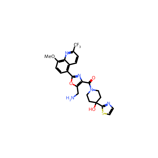 COc1ccc(-c2nc(C(=O)N3CCC(O)(c4nccs4)CC3)c(CN)o2)c2ccc(C(F)(F)F)nc12